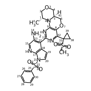 C[C@@H]1COC[C@H]2COc3c(nc(-c4c(N)cnc5c4ccn5S(=O)(=O)c4ccccc4)nc3C3(S(C)(=O)=O)CC3)N21